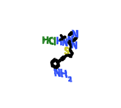 CC(C)(C)Nc1c(-c2ccc(C#Cc3cccc(N)c3)s2)nc2cnccn12.Cl